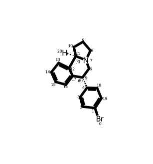 Brc1ccc([C@H]2CN3CCC[C@@H]3c3ccccc32)cc1